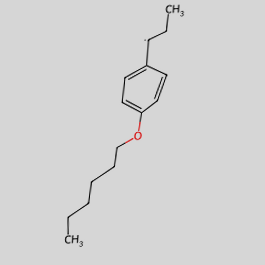 CC[CH]c1ccc(OCCCCCC)cc1